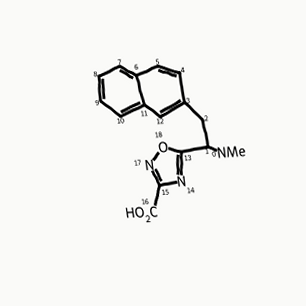 CNC(Cc1ccc2ccccc2c1)c1nc(C(=O)O)no1